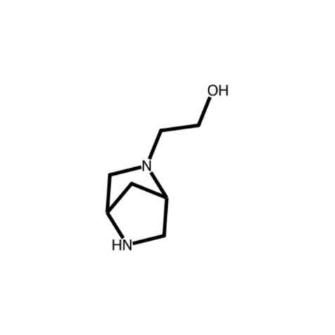 OCCN1CC2CC1CN2